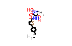 CCc1ccc(-c2ccc(C(=O)N[C@H](C(=O)NO)[C@@H](C)O)s2)cc1